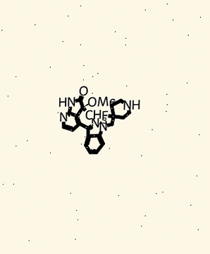 CO[C@@]1(C)C(=O)Nc2nccc(-c3nn(CC4(F)CCNCC4)c4ccccc34)c21